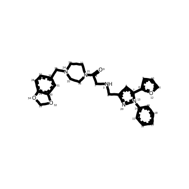 O=C(CNCc1cc(-c2ccco2)n(-c2ccccc2)n1)N1CCN(Cc2ccc3c(c2)OCO3)CC1